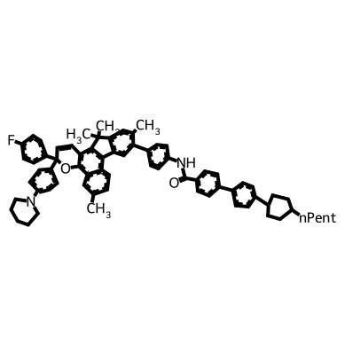 CCCCCC1CCC(c2ccc(-c3ccc(C(=O)Nc4ccc(-c5cc6c(cc5C)C(C)(C)c5c7c(c8cc(C)ccc8c5-6)OC(c5ccc(F)cc5)(c5ccc(N6CCCCC6)cc5)C=C7)cc4)cc3)cc2)CC1